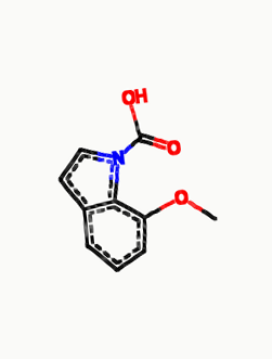 COc1cccc2ccn(C(=O)O)c12